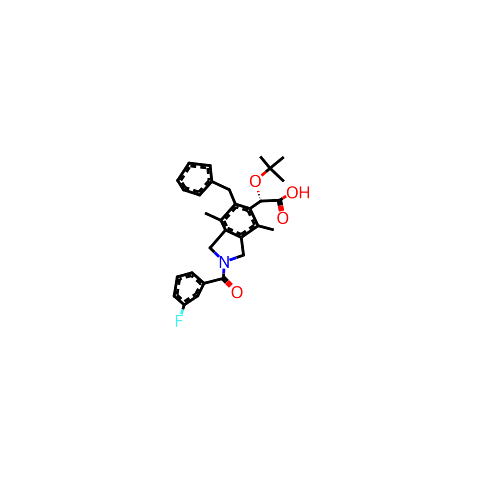 Cc1c2c(c(C)c([C@H](OC(C)(C)C)C(=O)O)c1Cc1ccccc1)CN(C(=O)c1cccc(F)c1)C2